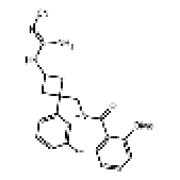 COc1ccccc1C(=O)NCC1(c2cccc(F)c2)CC(N/C(N)=N/C#N)C1